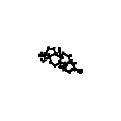 C[C@]12CC[C@]3(N)c4ccc(O)cc4CC[C@H]3C1CC[C@@H]2O